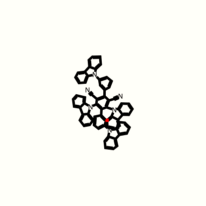 N#Cc1c(-c2cccc(-n3c4ccccc4c4ccccc43)c2)c(C#N)c(-n2c3ccccc3c3ccccc32)c(-c2cccc(-n3c4ccccc4c4ccccc43)c2)c1-n1c2ccccc2c2ccccc21